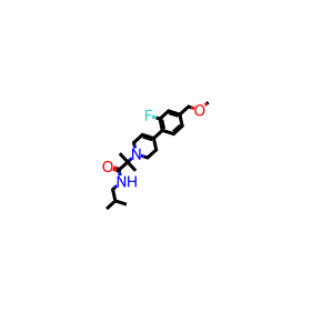 COCc1ccc(C2=CCN(C(C)(C)C(=O)NCC(C)C)CC2)c(F)c1